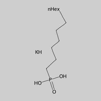 CCCCCCCCCCCCP(=O)(O)O.[KH]